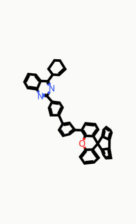 C1=CC(c2nc(-c3ccc(-c4cccc(-c5cccc6c5Oc5ccccc5C65c6ccccc6-c6ccccc65)c4)cc3)nc3ccccc23)CCC1